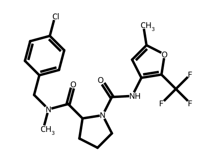 Cc1cc(NC(=O)N2CCCC2C(=O)N(C)Cc2ccc(Cl)cc2)c(C(F)(F)F)o1